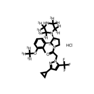 Cl.[2H]C([2H])([2H])Oc1cccc([C@H]2[C@@H](N3C([2H])([2H])C([2H])([2H])NC([2H])([2H])C3([2H])[2H])CCN2C(=O)Cn2nc(C3CC3)cc2C(F)(F)F)c1C